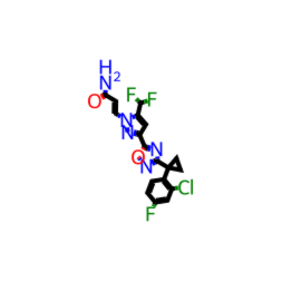 NC(=O)C=Cn1nc(-c2nc(C3(c4ccc(F)cc4Cl)CC3)no2)cc1C(F)F